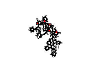 C#CC(OC(=O)OC(C#C)[C@](C)(CI)C(=O)[C@H](CC(C)C)NC(=O)[C@H](Cc1ccccc1)NC(=O)[C@H](CC(C)C)NC(=O)[C@H](CCc1ccccc1)NC(=O)CN1CCOCC1)[C@](C)(CI)C(=O)[C@H](CC(C)C)NC(=O)[C@H](Cc1ccccc1)NC(=O)[C@H](CC(C)C)NC(=O)[C@H](CCc1ccccc1)NC(=O)CN1CCOCC1